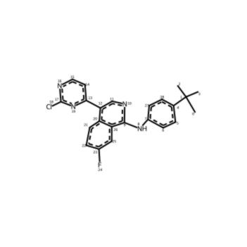 CC(C)(C)c1ccc(Nc2ncc(-c3ccnc(Cl)n3)c3ccc(F)cc23)cc1